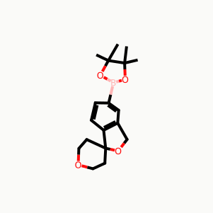 CC1(C)OB(c2ccc3c(c2)COC32CCOCC2)OC1(C)C